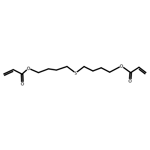 C=CC(=O)OCCCCSCCCCOC(=O)C=C